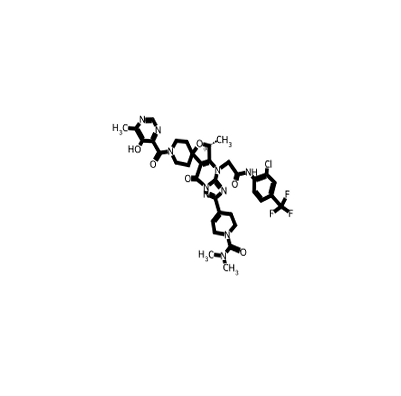 Cc1ncnc(C(=O)N2CCC3(CC2)O[C@H](C)c2c3c(=O)n3nc(C4=CCN(C(=O)N(C)C)CC4)nc3n2CC(=O)Nc2ccc(C(F)(F)F)cc2Cl)c1O